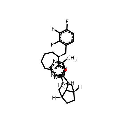 Cc1cc(N2C[C@H]3CC[C@@H](C2)[C@@H]3Nc2nc3n(n2)CCCC[C@H]3Cc2ccc(F)c(F)c2F)ncn1